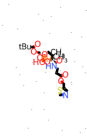 CC(C)(C)C(=O)OCO[PH]1(O)OCC(C)(C)[C@H](C(=O)NCCC(=O)OCc2cncs2)O1